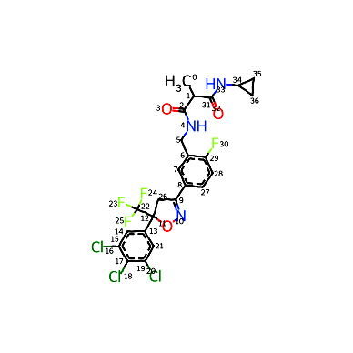 CC(C(=O)NCc1cc(C2=NOC(c3cc(Cl)c(Cl)c(Cl)c3)(C(F)(F)F)C2)ccc1F)C(=O)NC1CC1